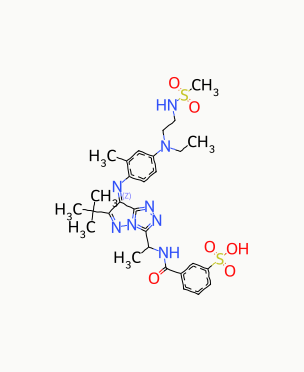 CCN(CCNS(C)(=O)=O)c1ccc(/N=C2/C(C(C)(C)C)=Nn3c2nnc3C(C)NC(=O)c2cccc(S(=O)(=O)O)c2)c(C)c1